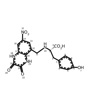 O=C(O)[C@H](Cc1ccc(O)cc1)NCc1cc([N+](=O)[O-])cc2[nH]c(=O)c(=O)[nH]c12